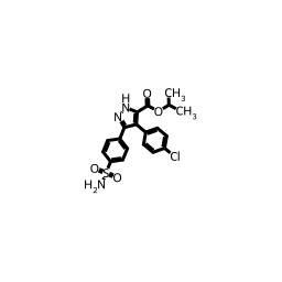 CC(C)OC(=O)c1[nH]nc(-c2ccc(S(N)(=O)=O)cc2)c1-c1ccc(Cl)cc1